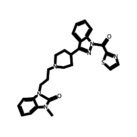 Cn1c(=O)n(CCCN2CCC(c3nn(C(=O)c4nccs4)c4ccccc34)CC2)c2ccccc21